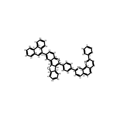 c1ccc(-c2ccc3ccc4ccc(-c5ccc(-c6nc7ccc(-c8cc9ccccc9c9ccccc89)cc7c7oc8ccccc8c67)cc5)nc4c3n2)cc1